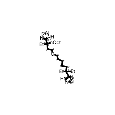 CCCCCCCCC(CC)(CCOCCCCCC(CC)(CC)c1nnn[nH]1)c1nnn[nH]1